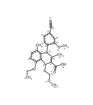 CCOc1ncc(C)c2c1C(CCOC)C(C(=O)O)=C(C)N2c1ccc(C#N)cc1OC